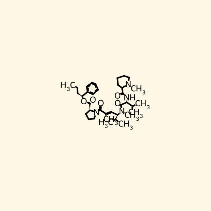 CCC[C@H](OC(=O)[C@@H]1CCCN1C(=O)/C(C)=C/[C@H](C(C)C)N(C)C(=O)[C@@H](NC(=O)C1CCCCN1C)C(C)C)c1ccccc1